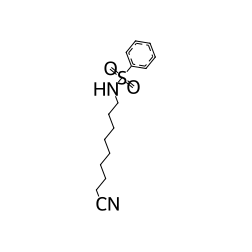 N#CCCCCCCCCNS(=O)(=O)c1ccccc1